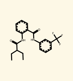 CCC(CC)C(=O)Nc1ccccc1C(=O)Nc1cccc(C(F)(F)F)c1